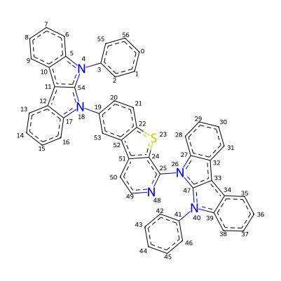 c1ccc(-n2c3ccccc3c3c4ccccc4n(-c4ccc5sc6c(-n7c8ccccc8c8c9ccccc9n(-c9ccccc9)c87)nccc6c5c4)c32)cc1